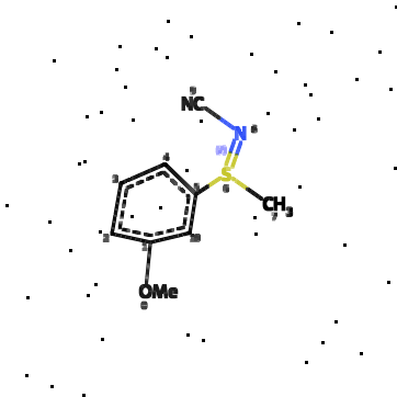 COc1cccc(/S(C)=N\C#N)c1